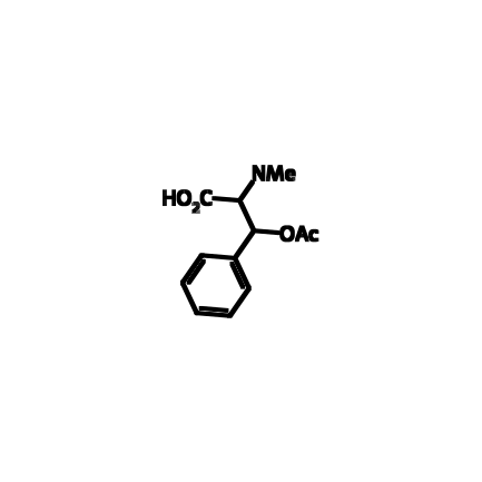 CNC(C(=O)O)C(OC(C)=O)c1ccccc1